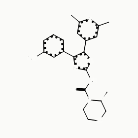 Cc1cc(-c2sc(NC(=O)N3CCOC[C@@H]3C)nc2-c2cccc(C#N)c2)cc(C)n1